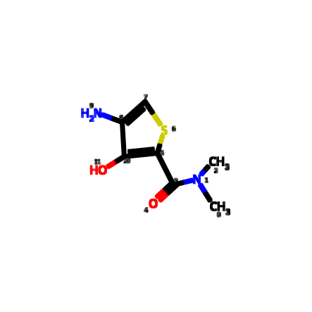 CN(C)C(=O)c1scc(N)c1O